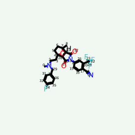 CN(CCC12CCC(C)(O1)[C@H]1C(=O)N(c3ccc(C#N)c(C(F)(F)F)c3)C(=O)C12)Cc1ccc(F)cc1